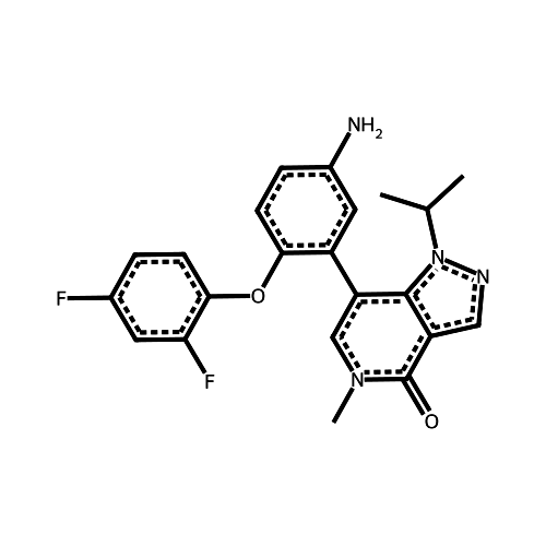 CC(C)n1ncc2c(=O)n(C)cc(-c3cc(N)ccc3Oc3ccc(F)cc3F)c21